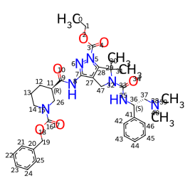 CCOC(=O)n1nc(NC(=O)[C@@H]2CCCN(C(=O)OCc3ccccc3)C2)c2c1C(C)(C)N(C(=O)N[C@H](CN(C)C)c1ccccc1)C2